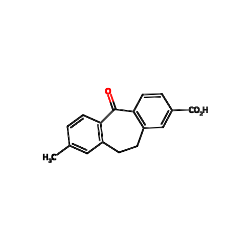 Cc1ccc2c(c1)CCc1cc(C(=O)O)ccc1C2=O